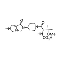 COC(C)(C)C(NC(=O)O)C(=O)N1CCC(N2CN3CN(C)C=C3C2=O)CC1